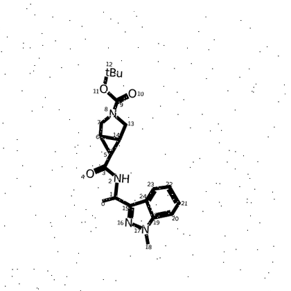 CC(NC(=O)C1C2CN(C(=O)OC(C)(C)C)CC21)c1nn(C)c2ccccc12